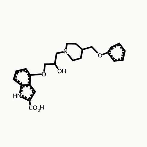 O=C(O)c1cc2c(OCC(O)CN3CCC(COc4ccccc4)CC3)cccc2[nH]1